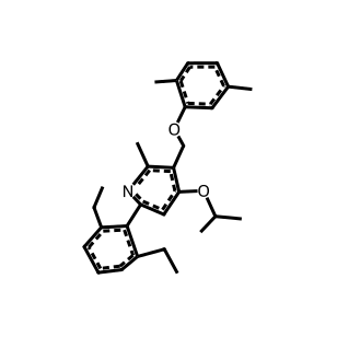 CCc1cccc(CC)c1-c1cc(OC(C)C)c(COc2cc(C)ccc2C)c(C)n1